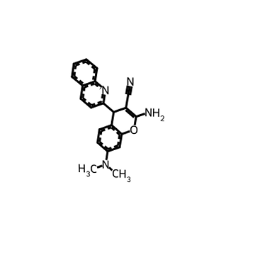 CN(C)c1ccc2c(c1)OC(N)=C(C#N)C2c1ccc2ccccc2n1